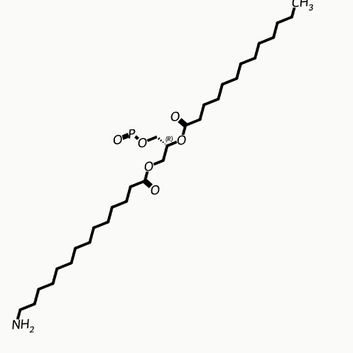 CCCCCCCCCCCCC(=O)O[C@@H](COP=O)COC(=O)CCCCCCCCCCCCCN